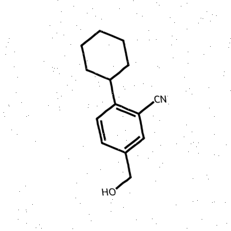 N#Cc1cc(CO)ccc1C1CCCCC1